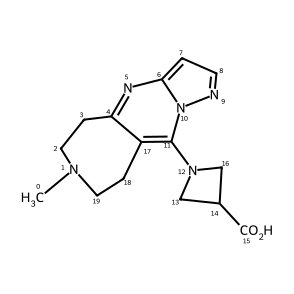 CN1CCc2nc3ccnn3c(N3CC(C(=O)O)C3)c2CC1